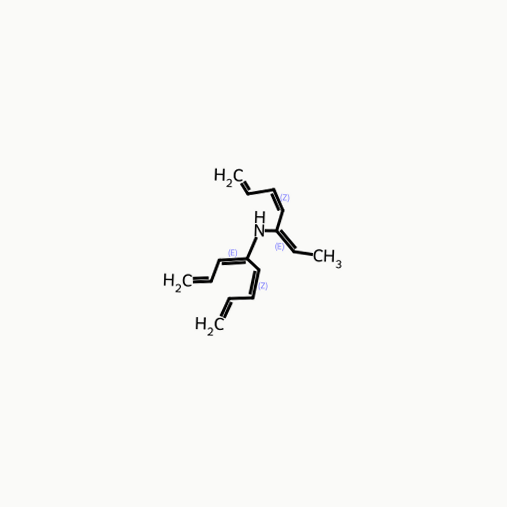 C=C/C=C\C(=C/C)NC(/C=C\C=C)=C/C=C